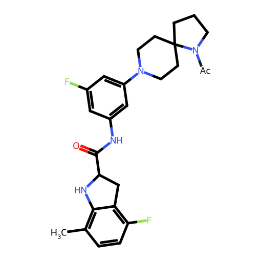 CC(=O)N1CCCC12CCN(c1cc(F)cc(NC(=O)C3Cc4c(F)ccc(C)c4N3)c1)CC2